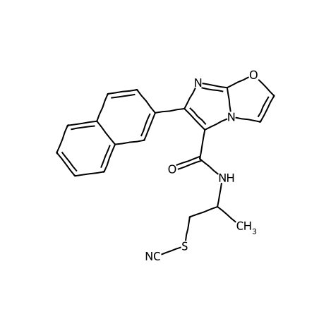 CC(CSC#N)NC(=O)c1c(-c2ccc3ccccc3c2)nc2occn12